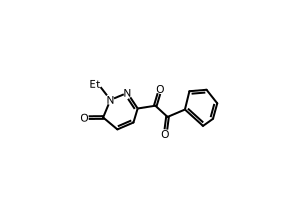 CCn1nc(C(=O)C(=O)c2ccccc2)ccc1=O